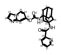 O=C(NC12CC3CC(C1)CC(NC(=O)c1ccccn1)(C3)C2)Oc1ccn2ccnc2c1